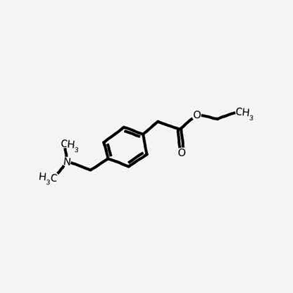 CCOC(=O)Cc1ccc(CN(C)C)cc1